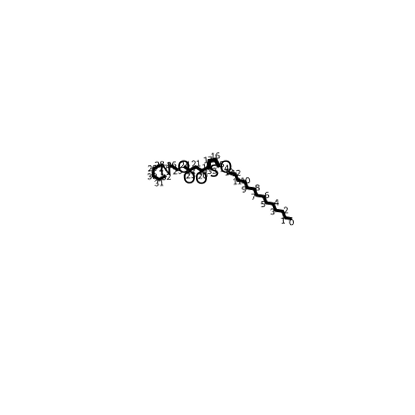 CCCCCCCCCCCCCCOc1ccc(C(=O)CC(=O)OCCN2CCCCC2)s1